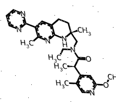 CCN(C[C@@]1(C)CCc2cc(-c3ncccn3)c(C)nc2N1)C(=O)[C@H](C)c1cc(OC)ncc1C